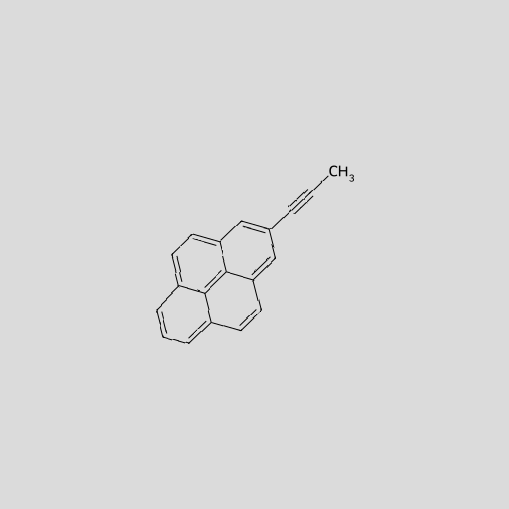 CC#Cc1cc2ccc3cccc4ccc(c1)c2c34